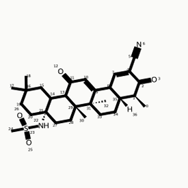 C[C@@H]1C(=O)C(C#N)=CC2C3=CC(=O)C4C5CC(C)(C)CC[C@]5(NS(C)(=O)=O)CC[C@@]4(C)[C@]3(C)CC[C@H]21